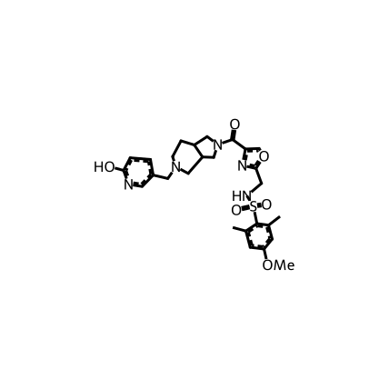 COc1cc(C)c(S(=O)(=O)NCc2nc(C(=O)N3CC4CCN(Cc5ccc(O)nc5)CC4C3)co2)c(C)c1